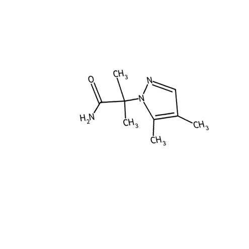 Cc1cnn(C(C)(C)C(N)=O)c1C